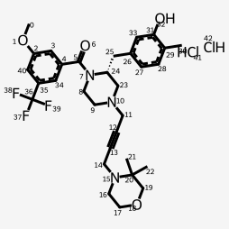 COc1cc(C(=O)N2CCN(CC#CCN3CCOCC3(C)C)C[C@H]2Cc2ccc(C)c(O)c2)cc(C(F)(F)F)c1.Cl.Cl